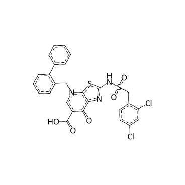 O=C(O)c1cn(Cc2ccccc2-c2ccccc2)c2sc(NS(=O)(=O)Cc3ccc(Cl)cc3Cl)nc2c1=O